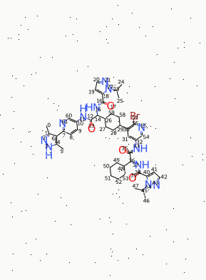 Cc1n[nH]c(C)c1-c1ccc(NC(=O)[C@@H](NC(=O)c2ccnn2C(C)C)C2CCC(c3cc(NC(=O)[C@@H](NC(=O)c4ccnn4C(C)C)C4CCCCC4)cnc3Br)CC2)cn1